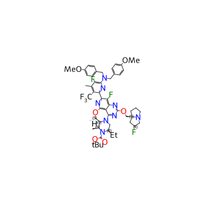 CC[C@@H]1CN2c3nc(OC[C@@]45CCCN4C[C@H](F)C5)nc4c(F)c(-c5nc(N(Cc6ccc(OC)cc6)Cc6ccc(OC)cc6)c(F)c(C)c5C(F)(F)F)nc(c34)O[C@@H](C)[C@@H]2[C@H](C)N1C(=O)OC(C)(C)C